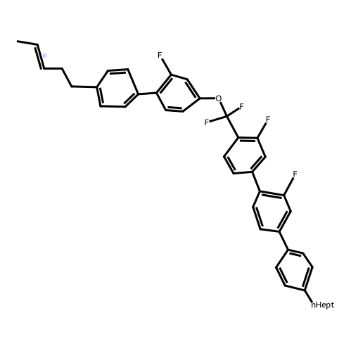 C/C=C/CCc1ccc(-c2ccc(OC(F)(F)c3ccc(-c4ccc(-c5ccc(CCCCCCC)cc5)cc4F)cc3F)cc2F)cc1